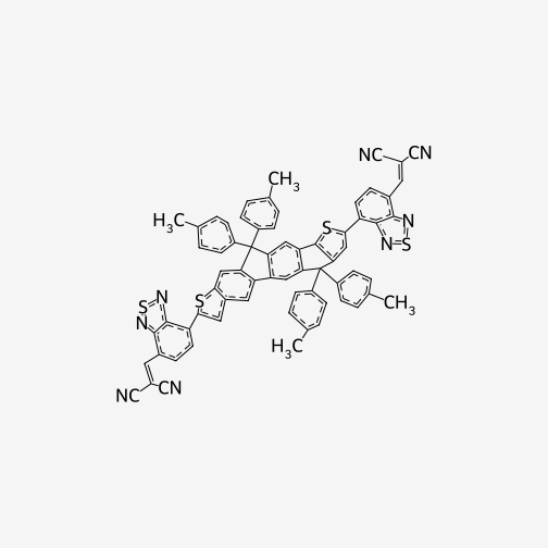 Cc1ccc(C2(c3ccc(C)cc3)c3cc4c(cc3-c3cc5cc(-c6ccc(C=C(C#N)C#N)c7nsnc67)sc5cc32)C(c2ccc(C)cc2)(c2ccc(C)cc2)c2cc(-c3ccc(C=C(C#N)C#N)c5nsnc35)sc2-4)cc1